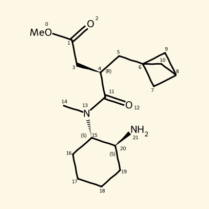 COC(=O)C[C@@H](CC12CC(C1)C2)C(=O)N(C)[C@H]1CCCC[C@@H]1N